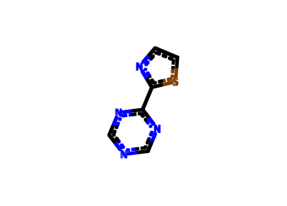 c1ncnc(-c2nccs2)n1